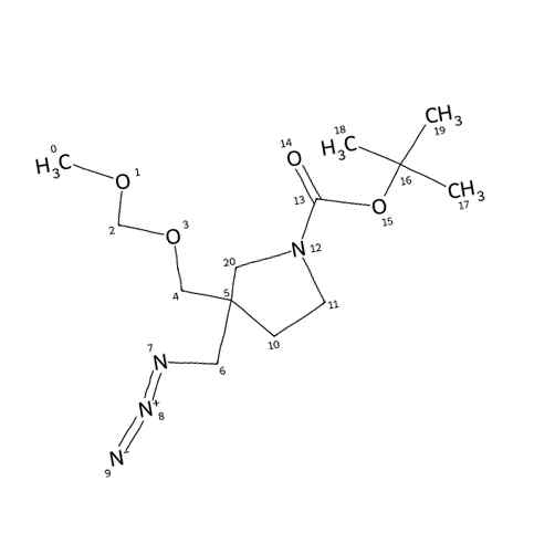 COCOCC1(CN=[N+]=[N-])CCN(C(=O)OC(C)(C)C)C1